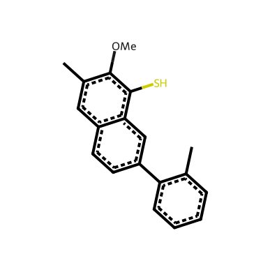 COc1c(C)cc2ccc(-c3ccccc3C)cc2c1S